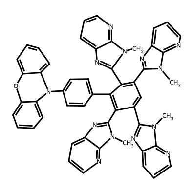 Cn1c(-c2cc(-c3nc4cccnc4n3C)c(-c3nc4cccnc4n3C)c(-c3ccc(N4c5ccccc5Oc5ccccc54)cc3)c2-c2nc3cccnc3n2C)nc2cccnc21